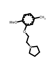 COc1ccc(C)cc1OCCN1CCCC1